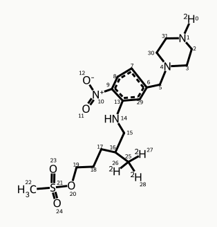 [2H]N1CCN(Cc2ccc([N+](=O)[O-])c(NCC(CCCOS(C)(=O)=O)C([2H])([2H])[2H])c2)CC1